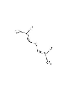 FC(=COC=C(F)C(F)(F)F)C(F)(F)F